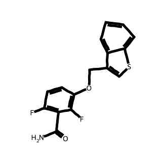 NC(=O)c1c(F)ccc(OCc2csc3ccccc23)c1F